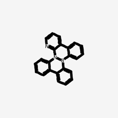 c1ccc2c(c1)B1c3ccccc3-c3cccnc3N1c1ccccc1-2